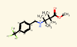 COC(=O)C(C)(C)C(C)(C)NCc1ccc(C(F)(F)F)cc1